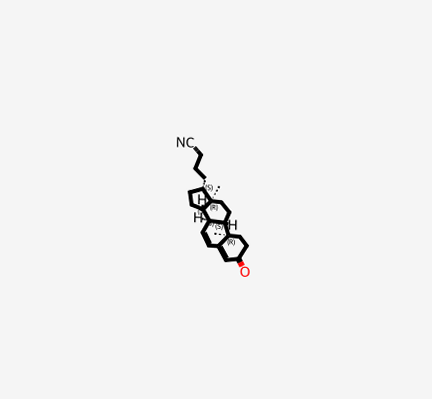 C[C@]12CC[C@H]3[C@@H](C=CC4=CC(=O)CC[C@@]43C)[C@@H]1CC[C@@H]2CCCC#N